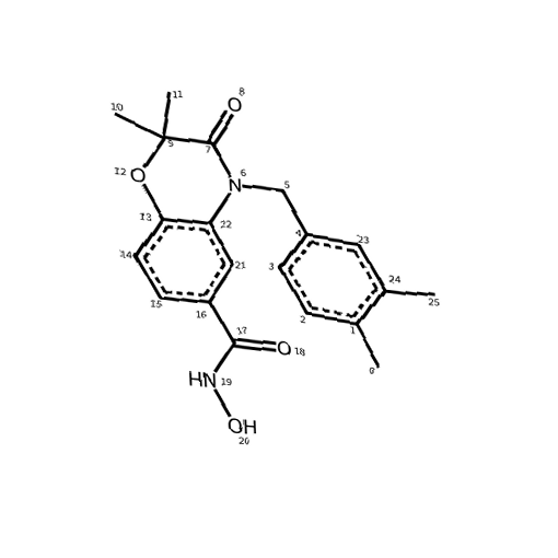 Cc1ccc(CN2C(=O)C(C)(C)Oc3ccc(C(=O)NO)cc32)cc1C